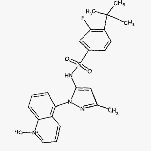 Cc1cc(NS(=O)(=O)c2ccc(C(C)(C)C)c(F)c2)n(-c2cccc3c2ccc[n+]3O)n1